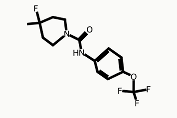 CC1(F)CCN(C(=O)Nc2ccc(OC(F)(F)F)cc2)CC1